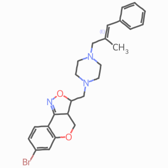 C/C(=C\c1ccccc1)CN1CCN(CC2ON=C3c4ccc(Br)cc4OCC32)CC1